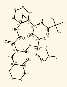 CC(C)C[C@](C=O)(CN[C@@H](C[C@@H]1CCCNC1=O)C(=O)C(=O)NC1CC1)N(C)C(=O)[C@H](NC(=O)C(C)(C)C)C1CCCCC1